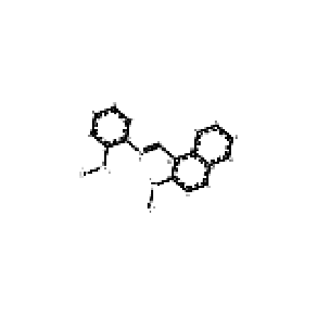 CCOc1ccccc1/N=C/c1c(OCC)ccc2ccccc12